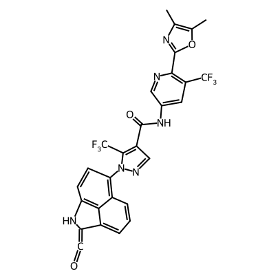 Cc1nc(-c2ncc(NC(=O)c3cnn(-c4ccc5[nH]c(=C=O)c6cccc4c56)c3C(F)(F)F)cc2C(F)(F)F)oc1C